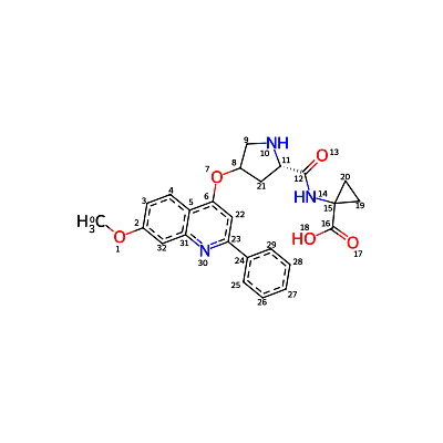 COc1ccc2c(OC3CN[C@H](C(=O)NC4(C(=O)O)CC4)C3)cc(-c3ccccc3)nc2c1